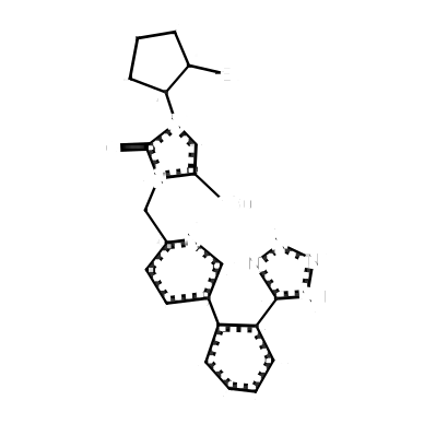 CCCCc1cn(C2CCCC2CC)c(=O)n1Cc1ccc(-c2ccccc2-c2nnn[nH]2)cn1